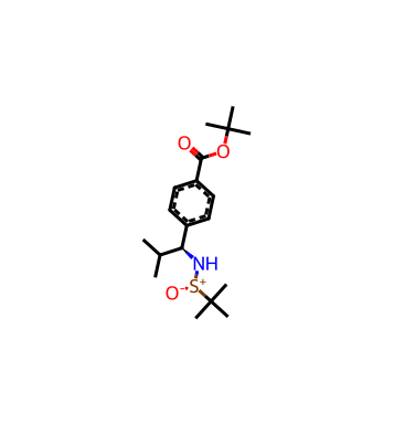 CC(C)[C@H](N[S@@+]([O-])C(C)(C)C)c1ccc(C(=O)OC(C)(C)C)cc1